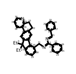 CCC1(CC)c2cc3c(cc2-c2c(C/N=C(\N=C\c4ccccc4)c4ccccc4)cccc21)CCc1ncccc1-3